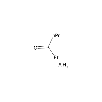 [AlH3].[CH2]CC(=O)CCC